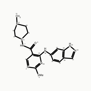 CSc1ncc(C(=O)NN2CCN(C)CC2)c(Nc2ccc3cn[nH]c3c2)n1